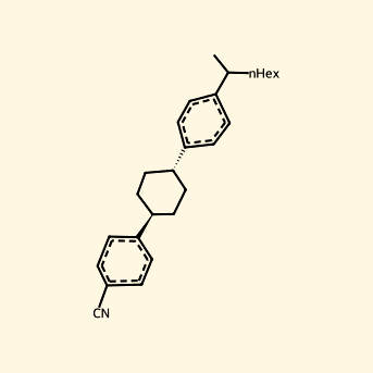 CCCCCCC(C)c1ccc([C@H]2CC[C@H](c3ccc(C#N)cc3)CC2)cc1